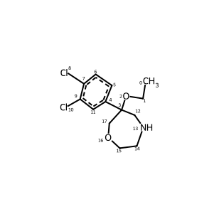 CCOC1(c2ccc(Cl)c(Cl)c2)CNCCOC1